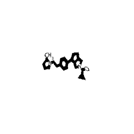 CC1CCCN1CCc1ccc(C2=CCC3CN(C(=O)C4CC4)CC23)cc1